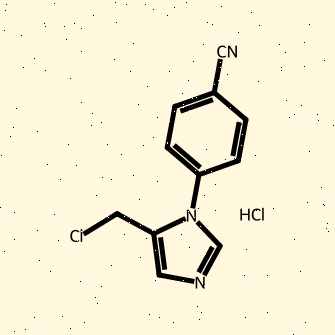 Cl.N#Cc1ccc(-n2cncc2CCl)cc1